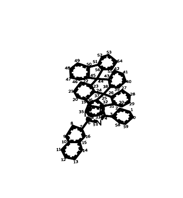 c1ccc(-c2nc(-c3ccc4ccccc4c3)nc(-c3cccc4c3C3(c5ccccc5-c5ccccc53)c3ccccc3C43c4ccccc4-c4ccccc43)n2)cc1